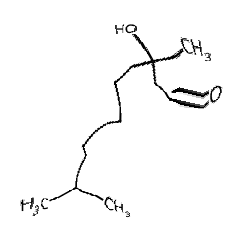 CC(C)CCCC(C)(O)C=O